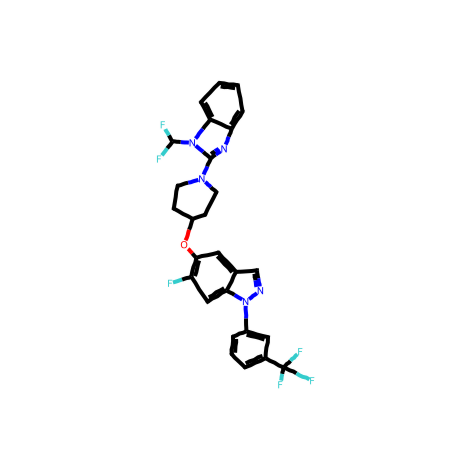 Fc1cc2c(cnn2-c2cccc(C(F)(F)F)c2)cc1OC1CCN(c2nc3ccccc3n2C(F)F)CC1